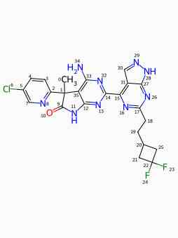 CC1(c2ccc(Cl)cn2)C(=O)Nc2nc(-c3nc(CCC4CC(F)(F)C4)nc4[nH]ncc34)nc(N)c21